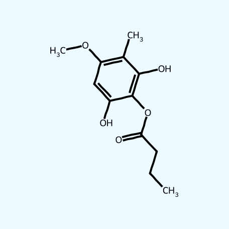 CCCC(=O)Oc1c(O)cc(OC)c(C)c1O